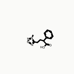 Cn1nnnc1CCC(C(=O)O)c1ccccc1